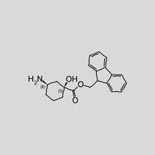 N[C@@H]1CCC[C@@](O)(C(=O)OCC2c3ccccc3-c3ccccc32)C1